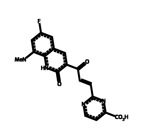 CNc1cc(F)cc2cc(C(=O)/C=C/c3nccc(C(=O)O)n3)c(=O)[nH]c12